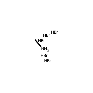 Br.Br.Br.Br.Br.CN